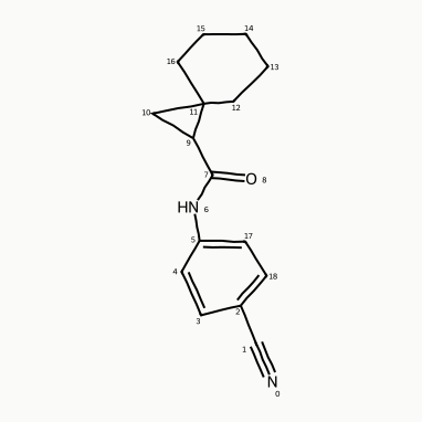 N#Cc1ccc(NC(=O)C2CC23CCCCC3)cc1